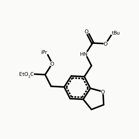 CCOC(=O)C(Cc1cc2c(c(CNC(=O)OC(C)(C)C)c1)OCC2)OC(C)C